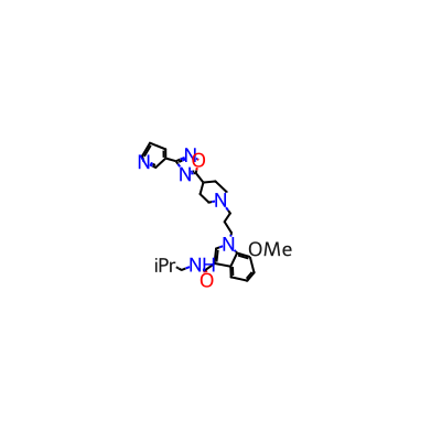 COc1cccc2c(C(=O)NCC(C)C)cn(CCCN3CCC(c4nc(-c5cccnc5)no4)CC3)c12